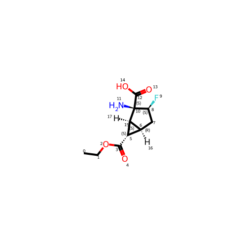 CCOC(=O)[C@H]1[C@@H]2C[C@H](F)[C@@](N)(C(=O)O)[C@@H]21